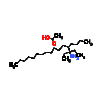 CC(=O)O.CCCCCCCCCCCCC(CCCC)C(N)(CC)CC